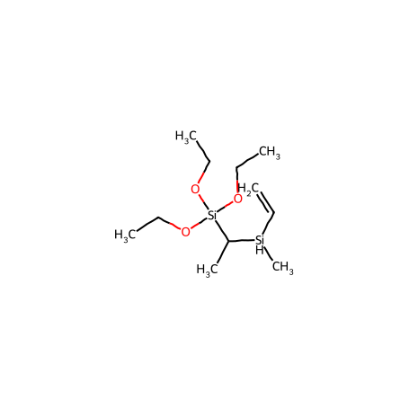 C=C[SiH](C)C(C)[Si](OCC)(OCC)OCC